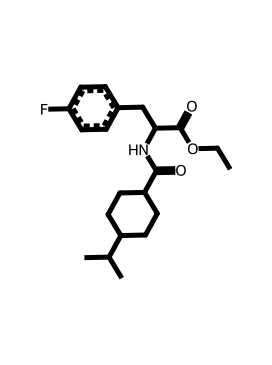 CCOC(=O)C(Cc1ccc(F)cc1)NC(=O)C1CCC(C(C)C)CC1